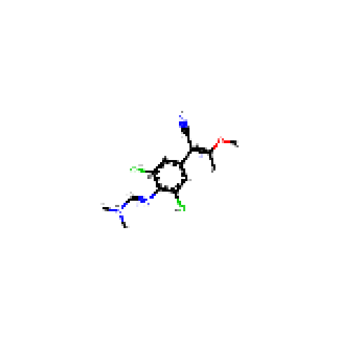 CO/C(C)=C(\C#N)c1cc(Cl)c(/N=C/N(C)C)c(Cl)c1